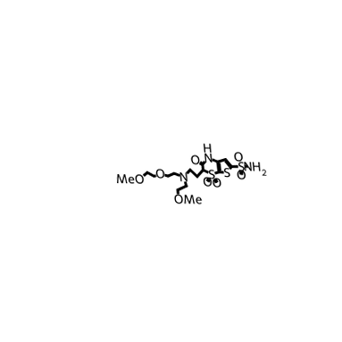 COCCOCCN(CCOC)CCC1C(=O)Nc2cc(S(N)(=O)=O)sc2S1(=O)=O